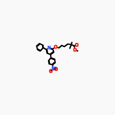 COC(=O)C(C)(C)CCCCOc1cc(-c2ccc([N+](=O)[O-])cc2)cc(-c2ccccc2)n1